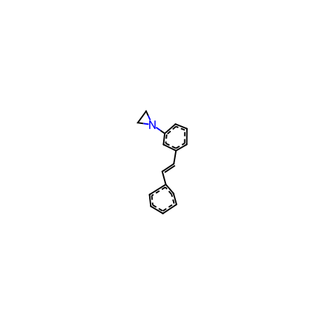 C(=Cc1cccc(N2CC2)c1)c1ccccc1